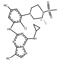 C[C@@H]1CN(c2cc(C#N)cc(Nc3nc(NC4CC4)n4ncc(C#N)c4n3)c2Cl)CCN1S(C)(=O)=O